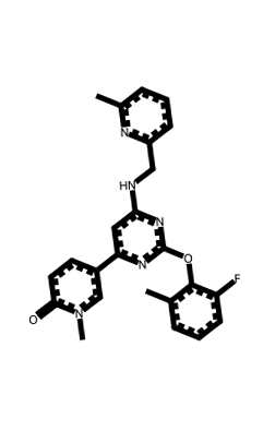 Cc1cccc(CNc2cc(-c3ccc(=O)n(C)c3)nc(Oc3c(C)cccc3F)n2)n1